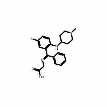 CN1CCC(Nc2ccc(F)cc2/C(=N/CC(=O)O)c2ccccc2)CC1